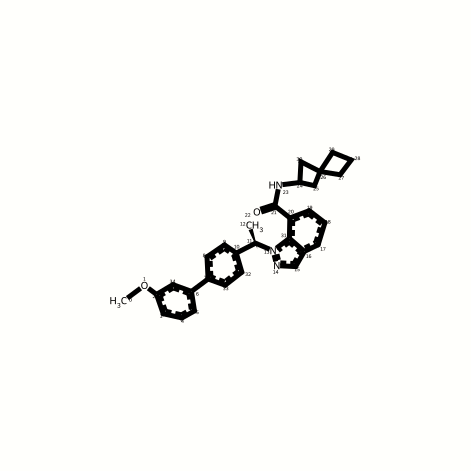 COc1cccc(-c2ccc([C@@H](C)n3ncc4cccc(C(=O)NC5CC6(CCC6)C5)c43)cc2)c1